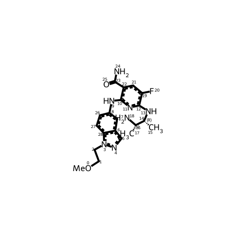 COCCn1ncc2cc(Nc3nc(N[C@H](C)[C@H](C)N)c(F)cc3C(N)=O)ccc21